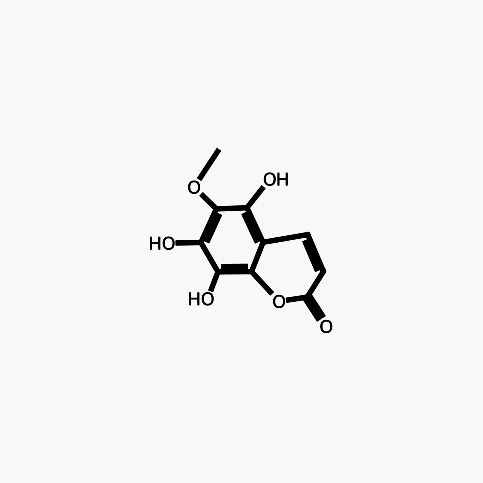 COc1c(O)c(O)c2oc(=O)ccc2c1O